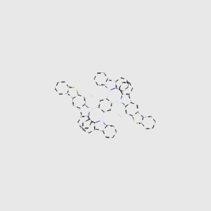 N#Cc1c(-n2c3ccccc3c3ccccc32)c(-n2c3ccccc3c3cc4c(cc32)sc2ccccc24)c(C#N)c(-n2c3ccccc3c3ccccc32)c1-n1c2ccccc2c2cc3c(cc21)sc1ccccc13